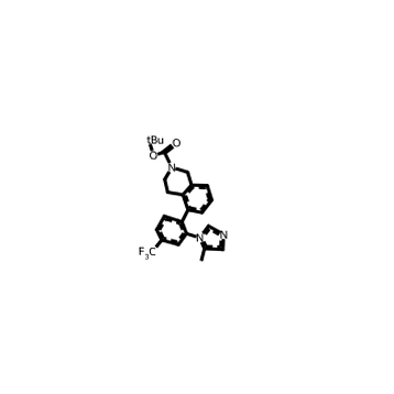 Cc1cncn1-c1cc(C(F)(F)F)ccc1-c1cccc2c1CCN(C(=O)OC(C)(C)C)C2